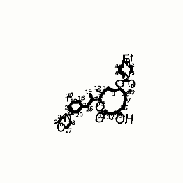 CCN1CCN(C(=O)O[C@H]2/C=C/[C@H](C)[C@@H](/C(C)=C/c3cc(F)cc(N4CCOCC4)c3)OC(=O)C[C@H](O)CC[C@@H]2C)CC1